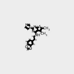 Cc1sc2nc(-n3ccnc3)nc(NCCc3ccc4c(c3)OCO4)c2c1C